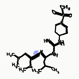 CS/C(CN(C)C)=N\C(NC(=N)NC1CCN(S(C)(=O)=O)CC1)C(C)C